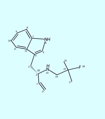 C=C[C@H](Cc1c[nH]c2ccccc12)NCC(C)(C)F